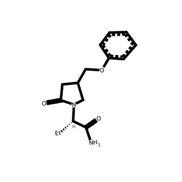 CC[C@@H](C(N)=O)N1CC(COc2ccccc2)CC1=O